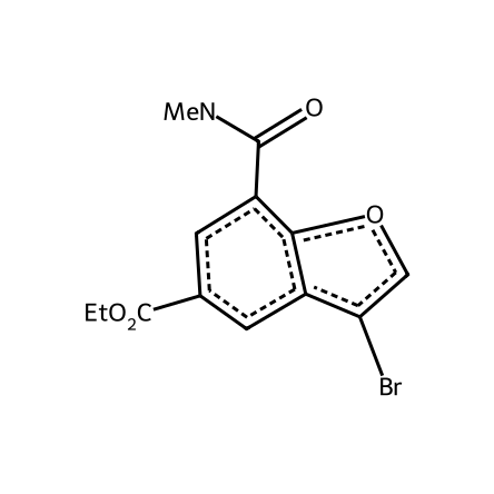 CCOC(=O)c1cc(C(=O)NC)c2occ(Br)c2c1